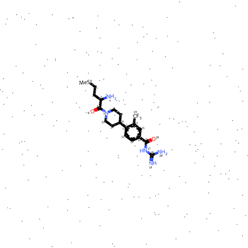 CSCCC(N)C(=O)N1CCC(c2ccc(C(=O)NC(=N)N)cc2C(F)(F)F)CC1